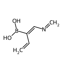 C=C/C(=C\N=C)B(O)O